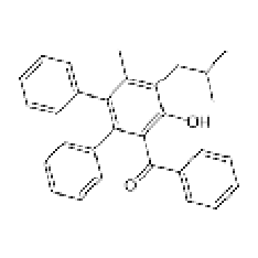 Cc1c(CC(C)C)c(O)c(C(=O)c2ccccc2)c(-c2ccccc2)c1-c1ccccc1